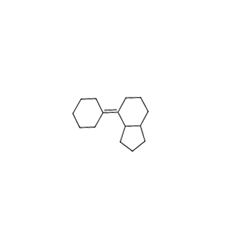 C1CCC(=C2CCCC3CCCC23)CC1